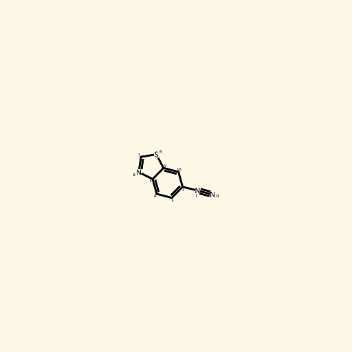 N#[N+]c1ccc2ncsc2c1